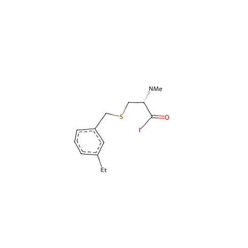 CCc1cccc(CSC[C@H](NC)C(=O)I)c1